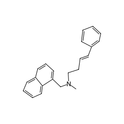 CN(CCC=Cc1ccccc1)Cc1cccc2ccccc12